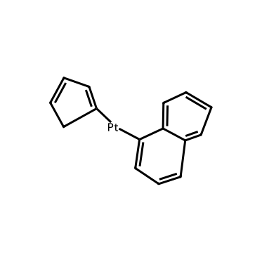 C1=CC[C]([Pt][c]2cccc3ccccc23)=C1